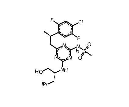 CC(C)C[C@H](CO)Nc1nc(C[C@@H](C)c2cc(F)c(Cl)cc2F)nc(NS(C)(=O)=O)n1